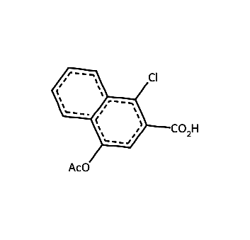 CC(=O)Oc1cc(C(=O)O)c(Cl)c2ccccc12